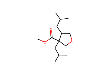 COC(=O)C1(CC(C)C)COCC1CC(C)C